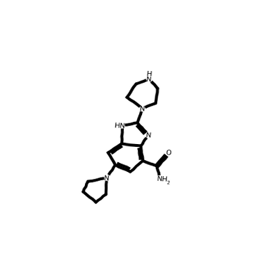 NC(=O)c1cc(N2CCCC2)cc2[nH]c(N3CCNCC3)nc12